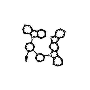 N#Cc1ccc(-n2c3ccccc3c3ccccc32)cc1-c1cccc(-n2c3ccccc3c3cc4c(cc32)oc2ccccc24)c1